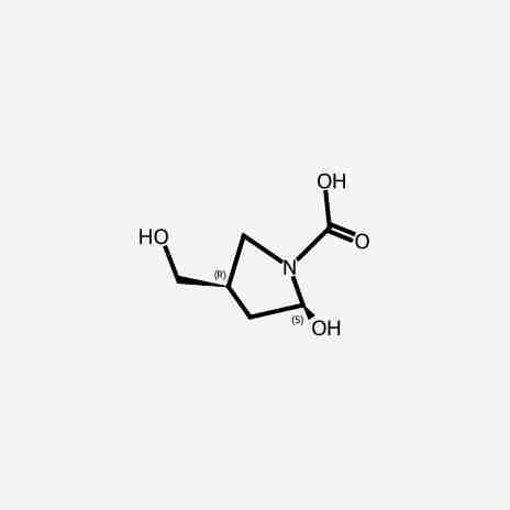 O=C(O)N1C[C@H](CO)C[C@@H]1O